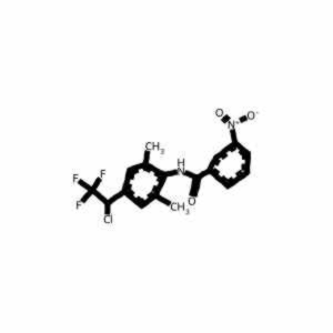 Cc1cc(C(Cl)C(F)(F)F)cc(C)c1NC(=O)c1cccc([N+](=O)[O-])c1